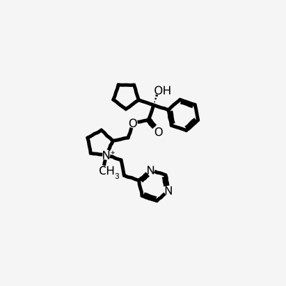 C[N+]1(CCc2ccncn2)CCCC1COC(=O)[C@](O)(c1ccccc1)C1CCCC1